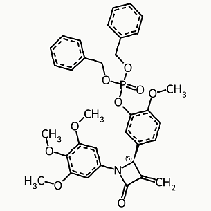 C=C1C(=O)N(c2cc(OC)c(OC)c(OC)c2)[C@H]1c1ccc(OC)c(OP(=O)(OCc2ccccc2)OCc2ccccc2)c1